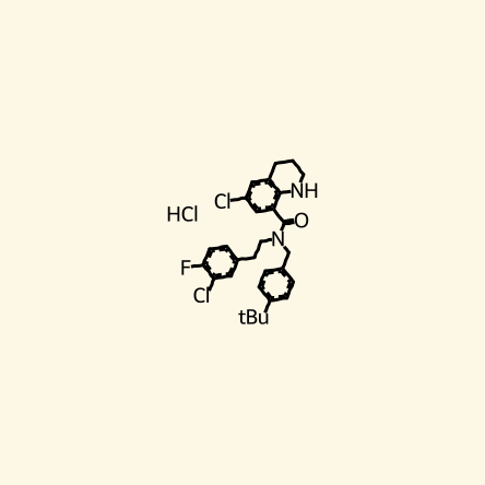 CC(C)(C)c1ccc(CN(CCc2ccc(F)c(Cl)c2)C(=O)c2cc(Cl)cc3c2NCCC3)cc1.Cl